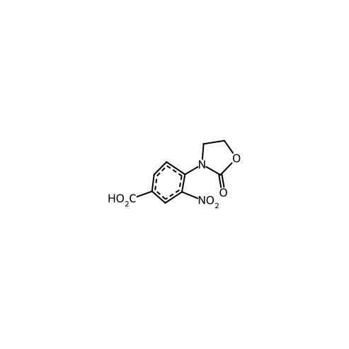 O=C(O)c1ccc(N2CCOC2=O)c([N+](=O)[O-])c1